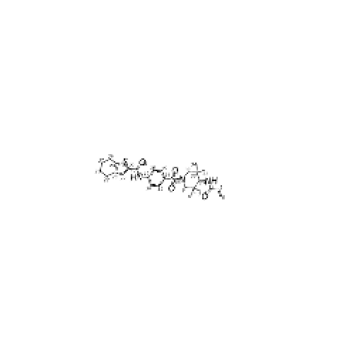 C=CC(=O)NC1C(C)(C)CN(S(=O)(=O)c2ccc(NC(=O)c3cc4c(s3)CCCC4)cc2)CC1(C)C